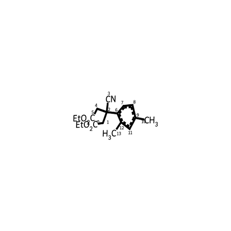 CCOC(=O)CC(C#N)(CC(=O)OCC)c1ccc(C)cc1C